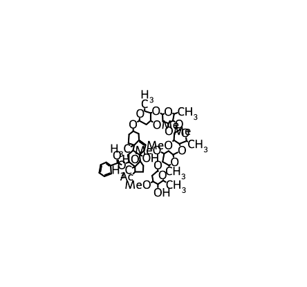 COC1CC(OC2C(C)OC(OC3C(C)OC(OC4C(C)OC(OC5C(C)OC(OC6CCC7(C)C(=CCC8(O)C7CC(OC(=O)c7ccccc7)C7(C)C(C(C)=O)CCC87O)C6)CC5OC)CC4OC)CC3OC)CC2OC)OC(C)C1O